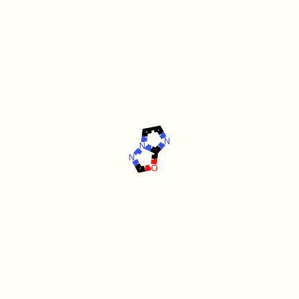 c1cn2ncoc2n1